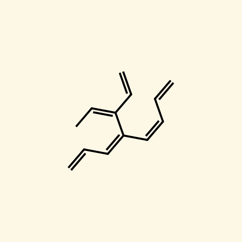 C=C\C=C/C(=C/C=C)C(/C=C)=C\C